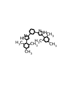 Cc1cc(C)c(-c2cc(-c3cccc(-c4cc(-c5c(C)cc(C)cc5C)[nH]n4)c3)n[nH]2)c(C)c1